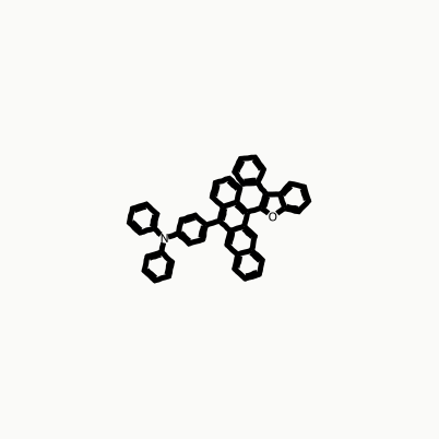 c1ccc(-c2c(-c3c4ccccc4c(-c4ccc(N(c5ccccc5)c5ccccc5)cc4)c4cc5ccccc5cc34)oc3ccccc23)cc1